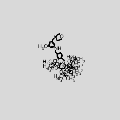 Cc1cc(CN2CCOCC2)cc(NCc2ccc(CN3CC(O[Si](C)(C)C(C)(C)C)C(O[Si](C)(C)C(C)(C)C)C(O[Si](C)(C)C(C)(C)C)[C@H]3CO[Si](C)(C)C(C)(C)C)cc2)c1